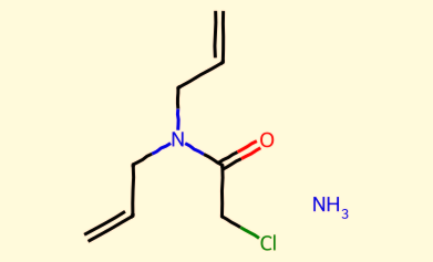 C=CCN(CC=C)C(=O)CCl.N